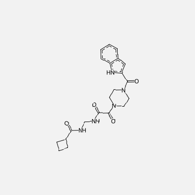 O=C(NCNC(=O)C1CCC1)C(=O)N1CCN(C(=O)c2cc3ccccc3[nH]2)CC1